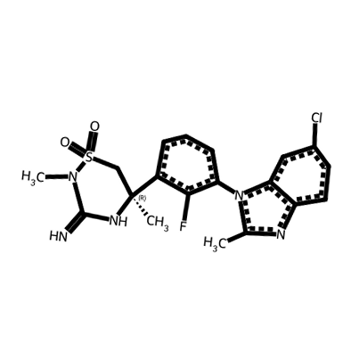 Cc1nc2ccc(Cl)cc2n1-c1cccc([C@]2(C)CS(=O)(=O)N(C)C(=N)N2)c1F